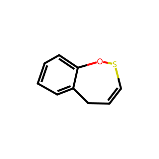 C1=CSOc2ccccc2C1